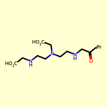 CC(C)C(=O)CNCCN(CCNCC(=O)O)CC(=O)O